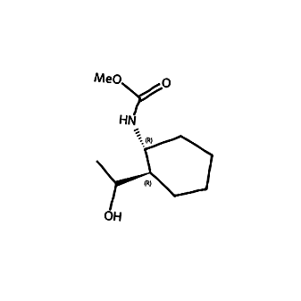 COC(=O)N[C@@H]1CCCC[C@H]1C(C)O